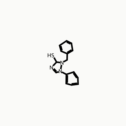 SC1N=CN(c2ccccc2)N1Cc1ccccc1